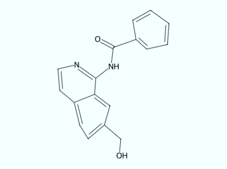 O=C(Nc1nccc2ccc(CO)cc12)c1ccccc1